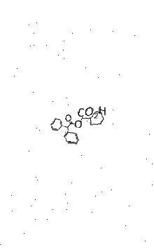 O=C(OC(C(=O)O)C1CCCCC1)C(c1ccccc1)c1ccccc1